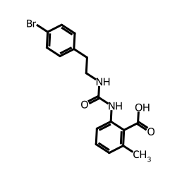 Cc1cccc(NC(=O)NCCc2ccc(Br)cc2)c1C(=O)O